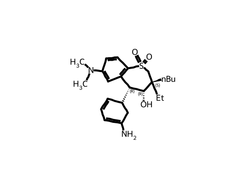 CCCC[C@]1(CC)CS(=O)(=O)c2ccc(N(C)C)cc2[C@@H](C2C=CC=C(N)C2)[C@H]1O